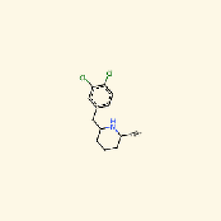 CCCC1CCCC(Cc2ccc(Cl)c(Cl)c2)N1